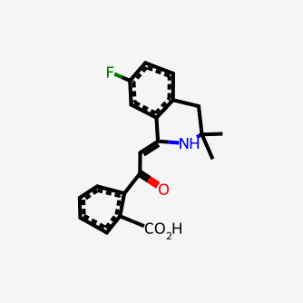 CC1(C)Cc2ccc(F)cc2C(=CC(=O)c2ccccc2C(=O)O)N1